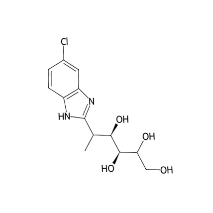 CC(c1nc2cc(Cl)ccc2[nH]1)[C@@H](O)[C@H](O)C(O)CO